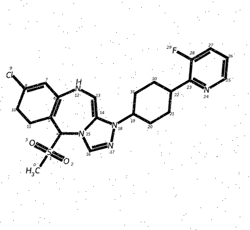 CS(=O)(=O)C1C2=C(C=C(Cl)CC2)NC=C2N1C=NN2C1CCC(c2ncccc2F)CC1